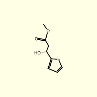 COC(=O)C[C@@H](O)c1cccs1